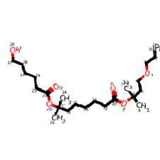 CC(C)CCOCCC(C)(C)OC(=O)CCCCCC(C)(C)OC(=O)CCCCCO